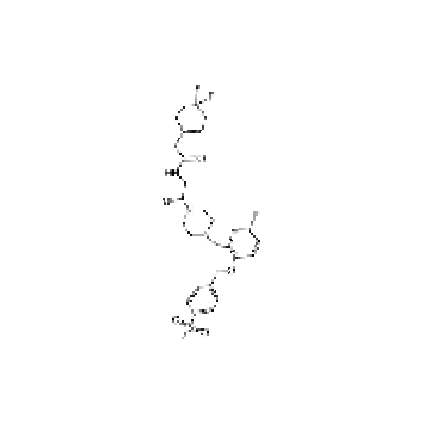 CS(=O)(=O)c1ccc(COc2ccc(F)cc2CN2CCN(C(=O)CNC(=O)CC3CCC(F)(F)CC3)CC2)cc1